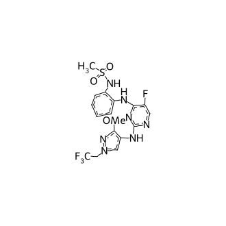 COc1nn(CC(F)(F)F)cc1Nc1ncc(F)c(Nc2ccccc2NS(C)(=O)=O)n1